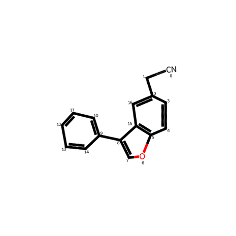 N#CCc1ccc2occ(-c3ccccc3)c2c1